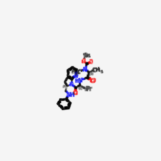 CC(C)[C@H](NC(=O)[C@H](C)N(C)C(=O)OC(C)(C)C)C(=O)N1c2ncccc2C[C@H]1CNc1ccccc1